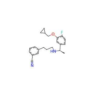 C[C@@H](NCCCc1cccc(C#N)c1)c1ccc(F)c(OCC2CC2)c1